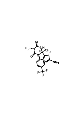 CN1C(=N)N[C@](C)(c2ccc(C#N)s2)[C@@H](c2ccc(C(F)(F)F)cc2)C1=O